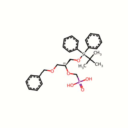 CC(C)(C)[Si](OC[C@H](COCc1ccccc1)OCP(=O)(O)O)(c1ccccc1)c1ccccc1